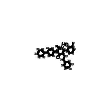 Cc1nc(-c2cccc(F)c2O)c(CCc2ccccc2)c(=O)n1-c1ccc(-c2ccccc2)cc1